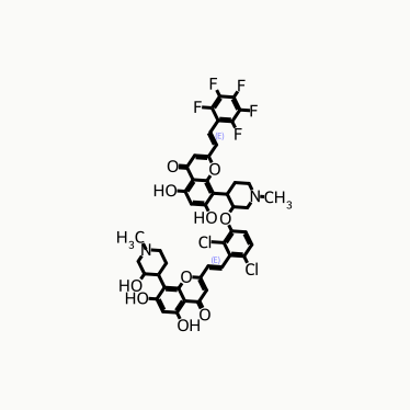 CN1CCC(c2c(O)cc(O)c3c(=O)cc(/C=C/c4c(Cl)ccc(OC5CN(C)CCC5c5c(O)cc(O)c6c(=O)cc(/C=C/c7c(F)c(F)c(F)c(F)c7F)oc56)c4Cl)oc23)C(O)C1